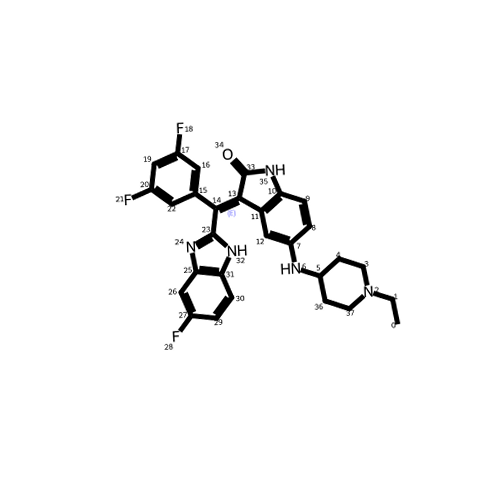 CCN1CCC(Nc2ccc3c(c2)/C(=C(/c2cc(F)cc(F)c2)c2nc4cc(F)ccc4[nH]2)C(=O)N3)CC1